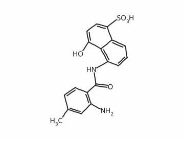 Cc1ccc(C(=O)Nc2cccc3c(S(=O)(=O)O)ccc(O)c23)c(N)c1